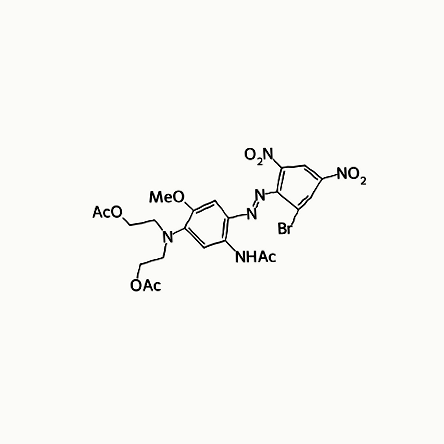 COc1cc(/N=N/c2c(Br)cc([N+](=O)[O-])cc2[N+](=O)[O-])c(NC(C)=O)cc1N(CCOC(C)=O)CCOC(C)=O